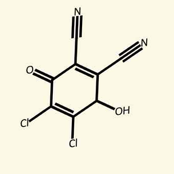 N#CC1=C(C#N)C(O)C(Cl)=C(Cl)C1=O